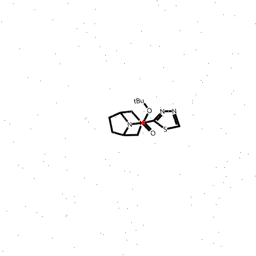 CC(C)(C)OC(=O)N1C2CCC1CN(c1nncs1)C2